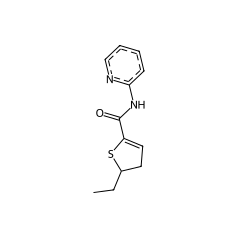 CCC1CC=C(C(=O)Nc2ccccn2)S1